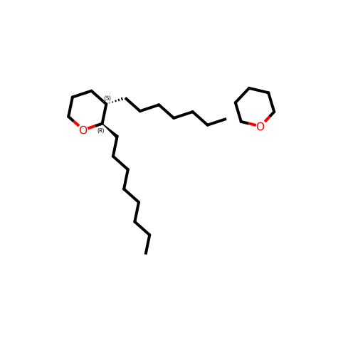 C1CCOCC1.CCCCCCCC[C@H]1OCCC[C@@H]1CCCCCCC